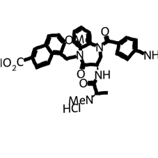 CN[C@@H](C)C(=O)N[C@H]1CN(C(=O)c2ccc(N)cc2)c2ccccc2N(Cc2c(OC)ccc3cc(C(=O)O)ccc23)C1=O.Cl